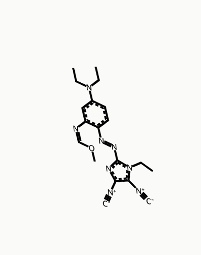 [C-]#[N+]c1nc(N=Nc2ccc(N(CC)CC)cc2/N=C\OC)n(CC)c1[N+]#[C-]